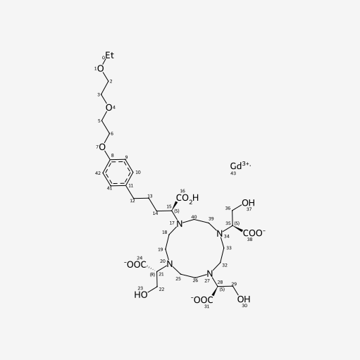 CCOCCOCCOc1ccc(CCC[C@@H](C(=O)O)N2CCN([C@H](CO)C(=O)[O-])CCN([C@@H](CO)C(=O)[O-])CCN([C@@H](CO)C(=O)[O-])CC2)cc1.[Gd+3]